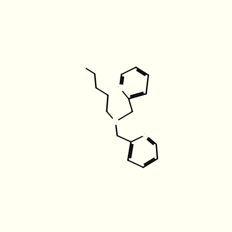 NCCCCN(Cc1ccccn1)Cc1ccccn1